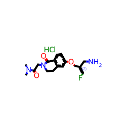 CN(C)C(=O)CN1CCc2cc(OC/C(=C\F)CN)ccc2C1=O.Cl